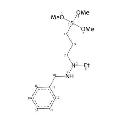 CCN(CCC[Si](OC)(OC)OC)NCc1ccccc1